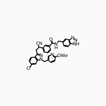 COc1ccc(Cn2nc(CC(C#N)c3cccc(C(=O)NCc4ccc5[nH]nnc5c4)c3)c3ccc(Cl)cc32)cn1